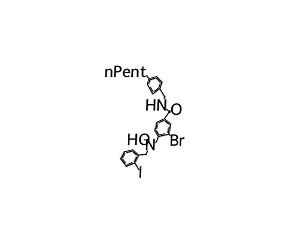 CCCCCc1ccc(CNC(=O)c2ccc(CN(O)Cc3ccccc3I)c(Br)c2)cc1